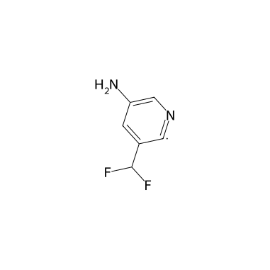 Nc1cn[c]c(C(F)F)c1